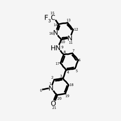 Cn1cc(-c2cccc(Nc3nccc(C(F)(F)F)n3)c2)ccc1=O